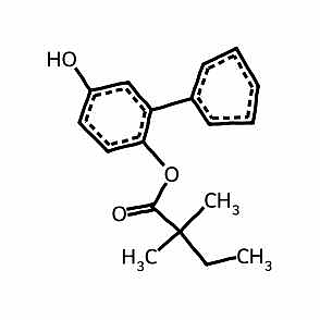 CCC(C)(C)C(=O)Oc1ccc(O)cc1-c1ccccc1